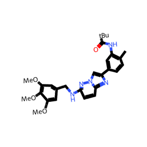 COc1cc(CNc2ccc3nc(-c4ccc(C)c(NC(=O)C(C)(C)C)c4)cn3n2)cc(OC)c1OC